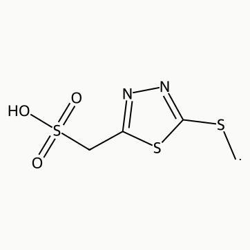 [CH2]Sc1nnc(CS(=O)(=O)O)s1